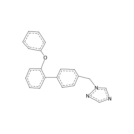 c1ccc(Oc2ccccc2-c2ccc(Cn3cncn3)cc2)cc1